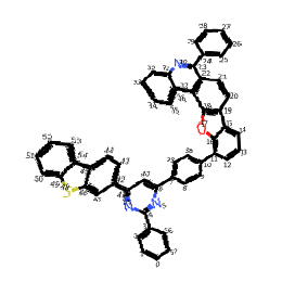 c1ccc(-c2nc(-c3ccc(-c4cccc5c4oc4c5ccc5c(-c6ccccc6)nc6ccccc6c54)cc3)cc(-c3ccc4c(c3)sc3ccccc34)n2)cc1